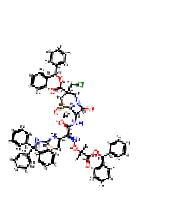 CC(C)(ON=C(C(=O)NC1C(=O)N2CC(CCl)(C(=O)OC(c3ccccc3)c3ccccc3)C[S+]([O-])[C@H]12)c1csc(NC(c2ccccc2)(c2ccccc2)c2ccccc2)n1)C(=O)OC(c1ccccc1)c1ccccc1